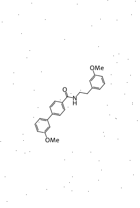 COc1cccc(CCNC(=O)c2ccc(-c3cccc(OC)c3)cc2)c1